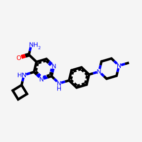 CN1CCN(c2ccc(Nc3ncc(C(N)=O)c(NC4CCC4)n3)cc2)CC1